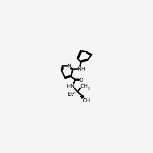 C#C[C@@](C)(CC)NC(=O)c1cccnc1Nc1ccccc1